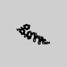 COC(C)(C)C(=O)NC(=O)Nc1ccc(OC2=CC(C)(c3ccncc3)NC=C2)cn1